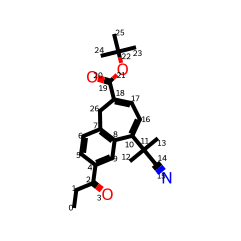 CCC(=O)c1ccc2c(c1)C(C(C)(C)C#N)=CC=C(C(=O)OC(C)(C)C)C2